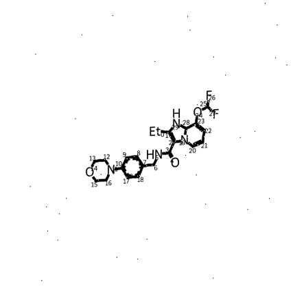 CCC1=C(C(=O)NCc2ccc(N3CCOCC3)cc2)N2C=CC=C(OC(F)F)C2N1